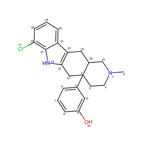 CN1CCC2(c3cccc(O)c3)Cc3[nH]c4c(Cl)cccc4c3CC2C1